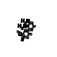 COc1cc(-c2cccc(N)c2N)ccc1F